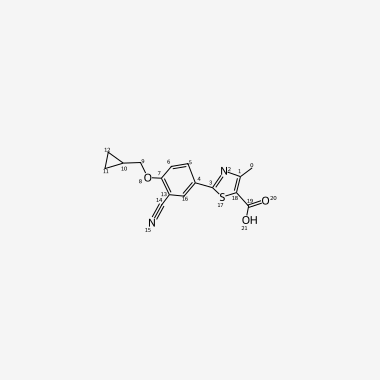 Cc1nc(-c2ccc(OCC3CC3)c(C#N)c2)sc1C(=O)O